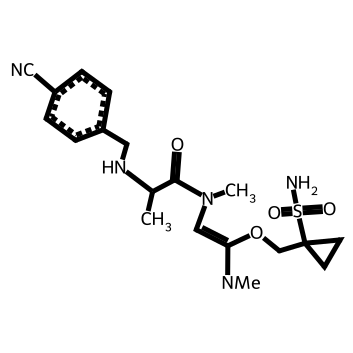 CN/C(=C/N(C)C(=O)C(C)NCc1ccc(C#N)cc1)OCC1(S(N)(=O)=O)CC1